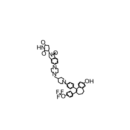 O=C1CC[C@@H](N2Cc3cc(N4CCN(CC5CCN(c6ccc(C7=C(c8ccc(OC(F)(F)F)cc8)CCCc8cc(O)ccc87)cc6)CC5)CC4)ccc3C2=O)C(=O)N1